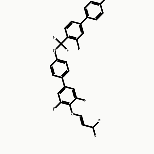 CCCc1ccc(-c2ccc(C(F)(F)Oc3ccc(-c4cc(F)c(O/C=C/C(F)F)c(F)c4)cc3)c(F)c2)cc1